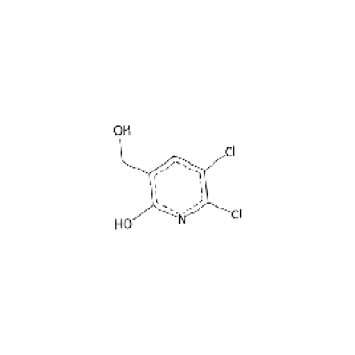 OCc1cc(Cl)c(Cl)nc1O